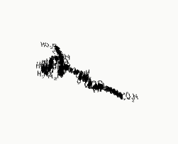 CC(O)C(NC(=O)CSC[C@H](NC(=O)CCCC(=O)O)C(=O)NC(CCN)C(=O)NCCOCCOCC(=O)NCCOCCOCC(=O)NCCCCCCCCCCC(=O)O)C(N)=O